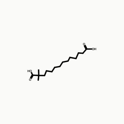 CC(C)(CCCCCCCCCCCC(=O)O)C(=O)O